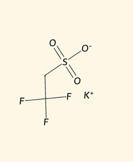 O=S(=O)([O-])CC(F)(F)F.[K+]